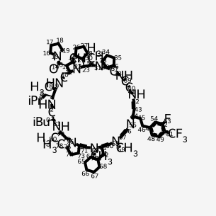 CC[C@H](C)[C@H]1CN[C@@H](CC(C)C)C(C)NCC2[C@@H](C(=O)N3CCCC3)C(C)N2[C@@H](C2CCCC2)C(C)NC2(CCCC2)CNCCNC=CC(CCc2ccc(C(F)(F)F)c(F)c2)=NC=CN(C)C=C(CC2CCCCC2)N(C)C=C2CCCN2[C@@H](C)C(C)N1